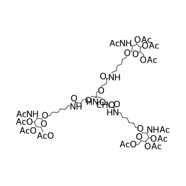 CC(=O)NC1C(OCCCCCCNC(=O)CCOCC(COCCC(=O)NCCCCCCOC2OC(COC(C)=O)C(OC(C)=O)C(OC(C)=O)C2NC(C)=O)(COCCC(=O)NCCCCCCOC2OC(COC(C)=O)C(OC(C)=O)C(OC(C)=O)C2NC(C)=O)NC=O)OC(COC(C)=O)C(OC(C)=O)C1OC(C)=O